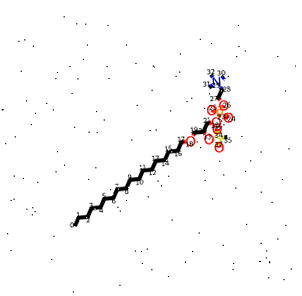 CCCCCCCCCCCCCCCCCCOCC(COP(=O)([O-])OCC[N+](C)(C)C)OS(C)(=O)=O